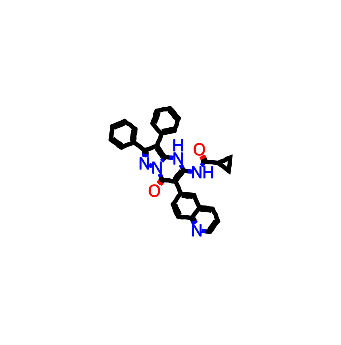 O=C(Nc1[nH]c2c(-c3ccccc3)c(-c3ccccc3)nn2c(=O)c1-c1ccc2ncccc2c1)C1CC1